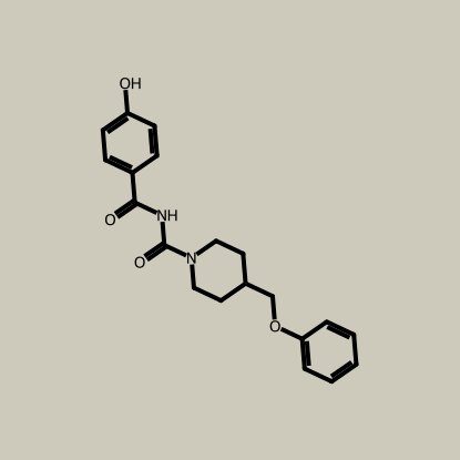 O=C(NC(=O)N1CCC(COc2ccccc2)CC1)c1ccc(O)cc1